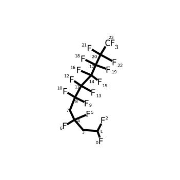 F[C](F)CC(F)(F)CC(F)(F)C(F)(F)C(F)(F)C(F)(F)C(F)(F)C(F)(F)F